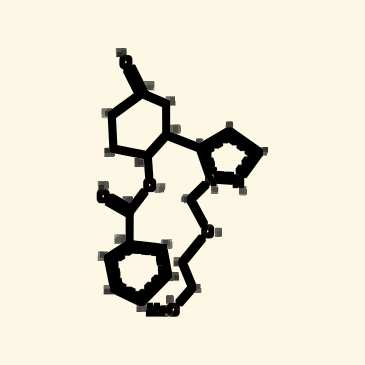 COCCOCn1nccc1C1CC(=O)CCC1OC(=O)c1ccccc1